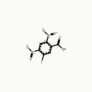 O=C(O)c1cc(F)c([N+](=O)[O-])cc1[N+](=O)[O-]